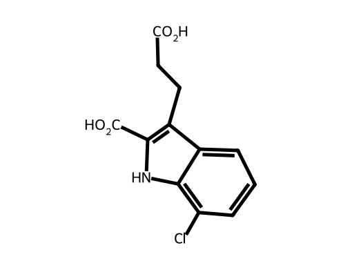 O=C(O)CCc1c(C(=O)O)[nH]c2c(Cl)cccc12